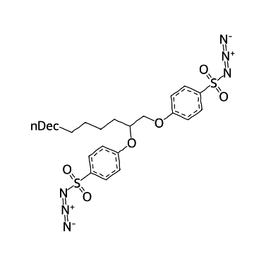 CCCCCCCCCCCCCCC(COc1ccc(S(=O)(=O)N=[N+]=[N-])cc1)Oc1ccc(S(=O)(=O)N=[N+]=[N-])cc1